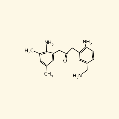 Cc1cc(C)c(N)c(CC(=O)Cc2cc(CN)ccc2N)c1